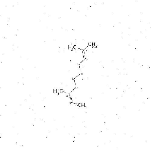 CC=C(C)C[CH]CCC=C(C)C